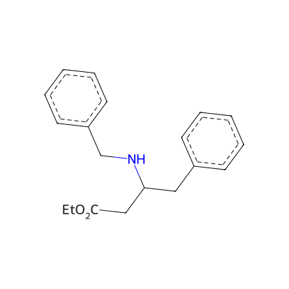 CCOC(=O)CC(Cc1ccccc1)NCc1ccccc1